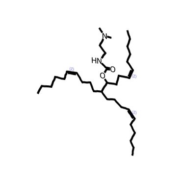 CCCCC/C=C\CCCC(CCC/C=C\CCCCC)C(CC/C=C\CCCCC)OC(=O)NCCN(C)C